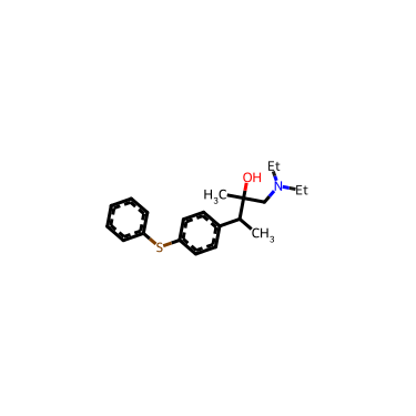 CCN(CC)CC(C)(O)C(C)c1ccc(Sc2ccccc2)cc1